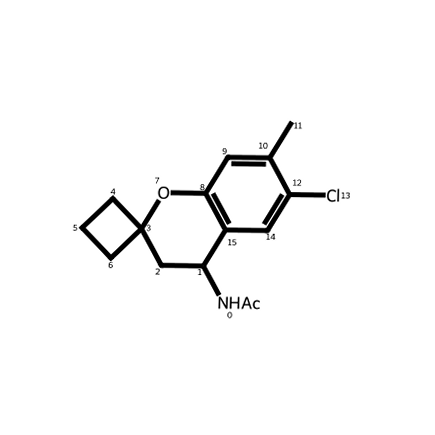 CC(=O)NC1CC2(CCC2)Oc2cc(C)c(Cl)cc21